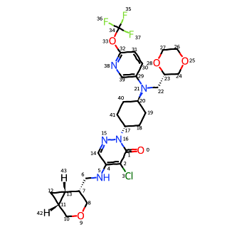 O=c1c(Cl)c(NC[C@@H]2COC[C@@H]3C[C@H]23)cnn1[C@H]1CC[C@H](N(C[C@H]2COCCO2)c2ccc(OC(F)(F)F)nc2)CC1